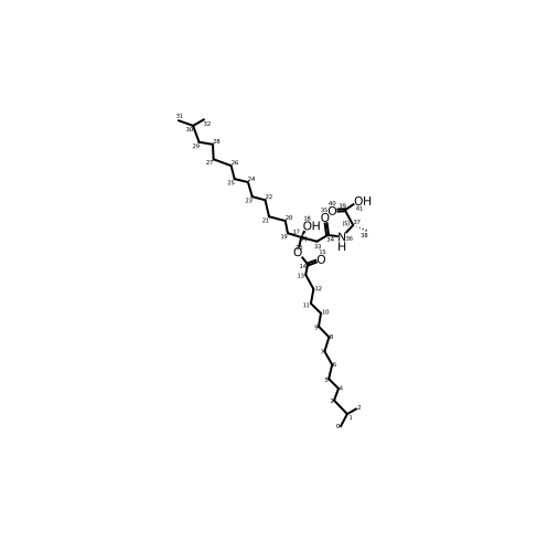 CC(C)CCCCCCCCCCCC(=O)O[C@](O)(CCCCCCCCCCCC(C)C)CC(=O)N[C@@H](C)C(=O)O